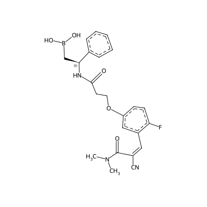 CN(C)C(=O)C(C#N)=Cc1cc(OCCC(=O)N[C@@H](CB(O)O)c2ccccc2)ccc1F